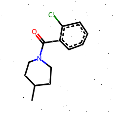 CC1CCN(C(=O)c2ccccc2Cl)CC1